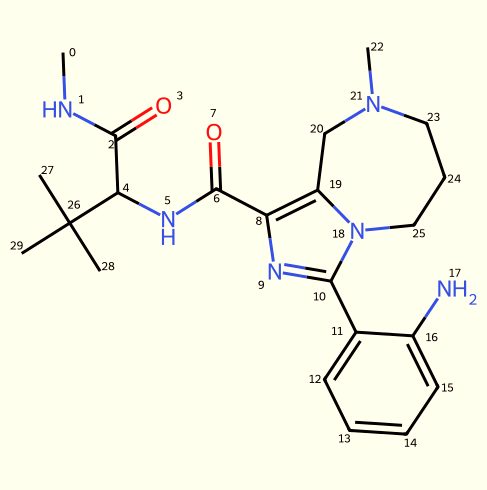 CNC(=O)C(NC(=O)c1nc(-c2ccccc2N)n2c1CN(C)CCC2)C(C)(C)C